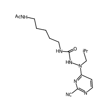 CC(=O)NCCCCCNC(=O)NN(CC(C)C)c1ccnc(C#N)n1